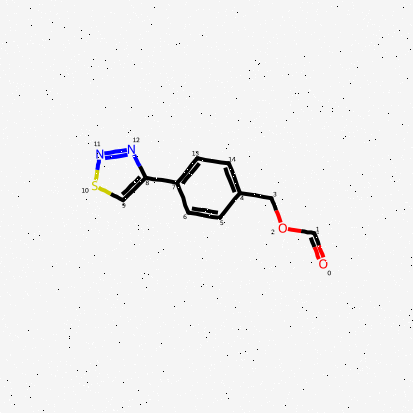 O=[C]OCc1ccc(-c2csnn2)cc1